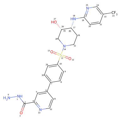 NNC(=O)c1cc(-c2ccc(S(=O)(=O)N3CC[C@@H](Nc4ccc(C(F)(F)F)cn4)[C@@H](O)C3)cc2)ccn1